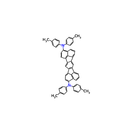 Cc1ccc(N(c2ccc(C)cc2)c2ccc3c4cc5c(cc4c4cccc2c43)c2cccc3c(N(c4ccc(C)cc4)c4ccc(C)cc4)ccc5c32)cc1